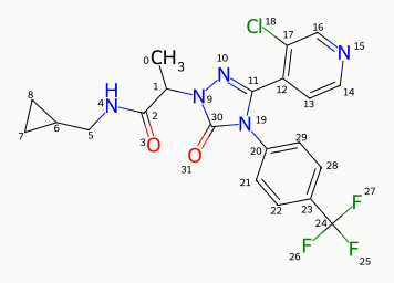 CC(C(=O)NCC1CC1)n1nc(-c2ccncc2Cl)n(-c2ccc(C(F)(F)F)cc2)c1=O